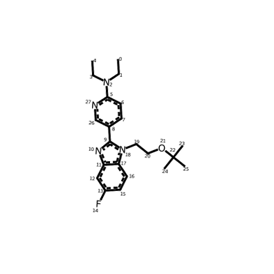 CCN(CC)c1ccc(-c2nc3cc(F)ccc3n2CCOC(C)(C)C)cn1